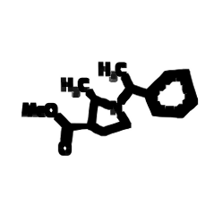 COC(=O)[C@@H]1CCN(C(C)c2ccccc2)[C@@H]1C